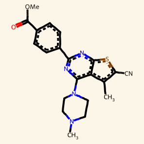 COC(=O)c1ccc(-c2nc(N3CCN(C)CC3)c3c(C)c(C#N)sc3n2)cc1